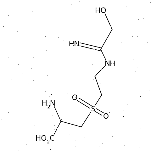 N=C(CO)NCCS(=O)(=O)CC(N)C(=O)O